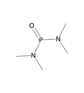 CN(C)[P](=O)N(C)C